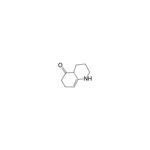 O=C1CCC=C2NCCCC12